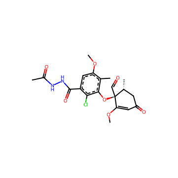 COC1=CC(=O)C[C@@H](C)[C@]1(C=O)Oc1c(C)c(OC)cc(C(=O)NNC(C)=O)c1Cl